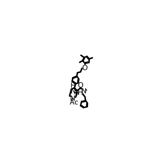 CC(=O)N1CC2CC(c3ccc(CCCOc4cc(C)cc(C)c4C)cc3)=C(C(=O)N(C)CCc3ccccc3)[C@@H](C1)N2